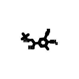 Cc1cc(C(O)CNC(C)(C)C)cc(C#N)c1N